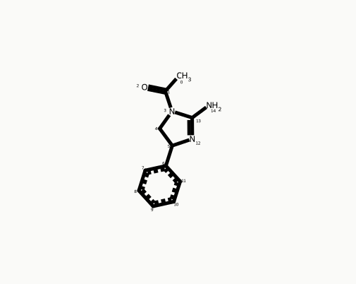 CC(=O)N1CC(c2ccccc2)N=C1N